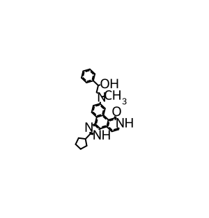 CN(CC(O)c1ccccc1)c1ccc2c(c1)c1c(=O)[nH]ccc1c1[nH]c(C3CCCC3)nc21